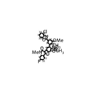 CNC(=O)c1c(-c2ccc(F)cc2)oc2cc(N(C)S(C)(=O)=O)c(-c3cc(OC)cc(-c4nc5c(Cl)cccc5o4)c3)cc12